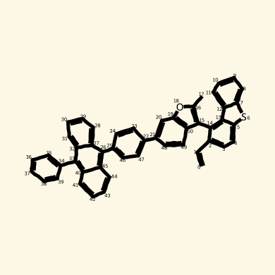 C=Cc1ccc2sc3ccccc3c2c1-c1c(C)oc2cc(-c3ccc(-c4c5ccccc5c(-c5ccccc5)c5ccccc45)cc3)ccc12